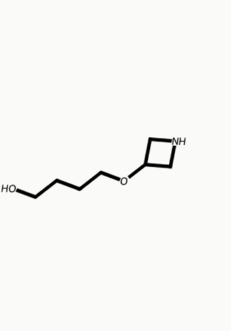 OCCCCOC1CNC1